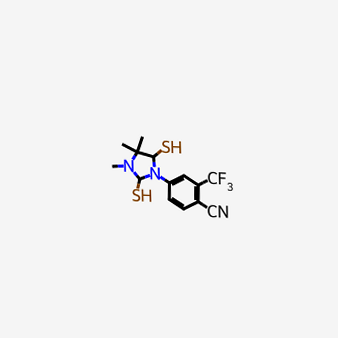 CN1C(S)N(c2ccc(C#N)c(C(F)(F)F)c2)C(S)C1(C)C